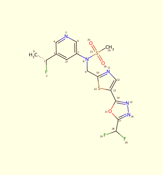 C[C@@H](F)c1cncc(N(Cc2ncc(-c3nnc(C(F)F)o3)s2)S(C)(=O)=O)c1